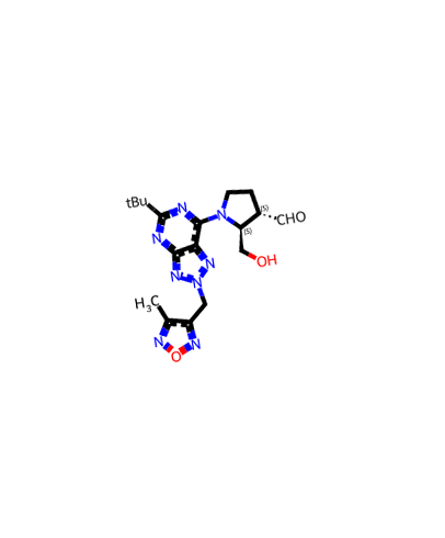 Cc1nonc1Cn1nc2nc(C(C)(C)C)nc(N3CC[C@H](C=O)[C@H]3CO)c2n1